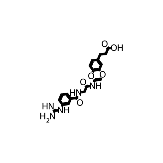 N=C(N)Nc1cccc(C(=O)NCC(=O)NC2=COc3cc(CCC(=O)O)ccc3O2)c1